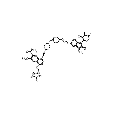 CC[C@@H]1[C@H](F)C(=O)N[C@@H]1COc1ncc(C#C[C@H]2CC[C@@H](CN3CCC(OCCCc4ccc5c(c4)n(C)c(=O)n5C4CCC(=O)NC4=O)CC3)CC2)c2cc(C(N)=O)c(OC)cc12